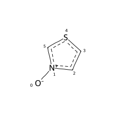 [O-][n+]1ccsc1